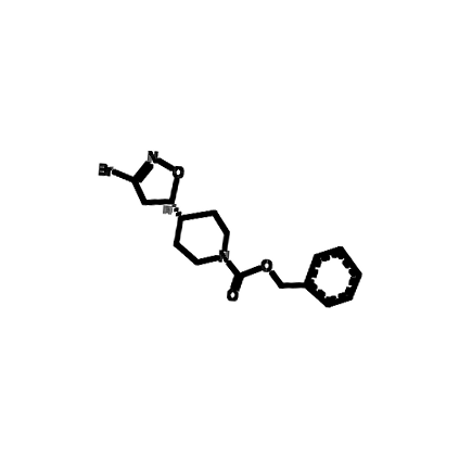 O=C(OCc1ccccc1)N1CCC([C@@H]2CC(Br)=NO2)CC1